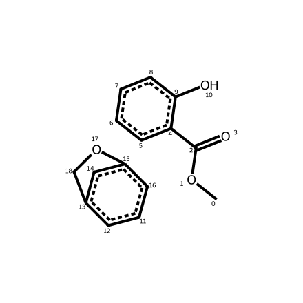 COC(=O)c1ccccc1O.c1cc2cc(c1)OC2